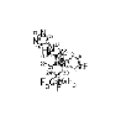 O=S(=O)(c1ccc(F)cc1)[C@@]12CCN(c3cncnc3)[C@@H]1CCc1cc(C(F)(C(F)(F)F)C(F)(F)F)ccc12